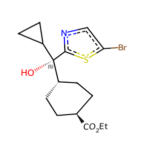 CCOC(=O)[C@H]1CC[C@H]([C@](O)(c2ncc(Br)s2)C2CC2)CC1